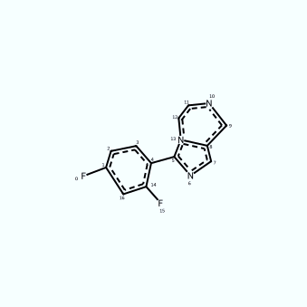 Fc1ccc(-c2ncc3cnccn23)c(F)c1